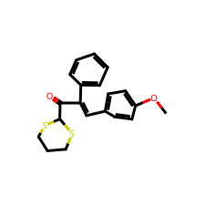 COc1ccc(/C=C(/C(=O)C2SCCCS2)c2ccccc2)cc1